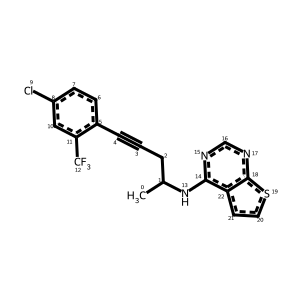 CC(CC#Cc1ccc(Cl)cc1C(F)(F)F)Nc1ncnc2sccc12